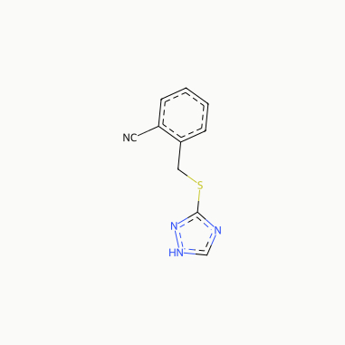 N#Cc1ccccc1CSc1nc[nH]n1